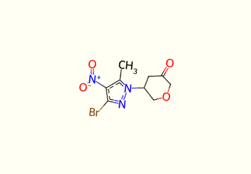 Cc1c([N+](=O)[O-])c(Br)nn1C1COCC(=O)C1